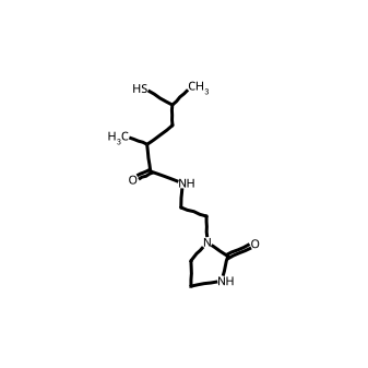 CC(S)CC(C)C(=O)NCCN1CCNC1=O